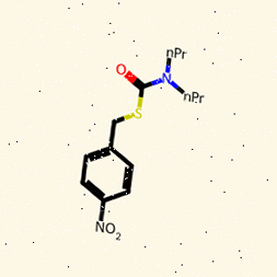 CCCN(CCC)C(=O)SCc1ccc([N+](=O)[O-])cc1